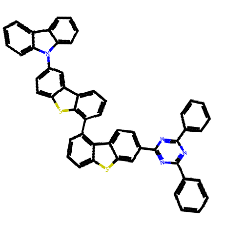 c1ccc(-c2nc(-c3ccccc3)nc(-c3ccc4c(c3)sc3cccc(-c5cccc6c5sc5ccc(-n7c8ccccc8c8ccccc87)cc56)c34)n2)cc1